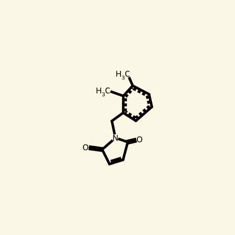 Cc1cccc(CN2C(=O)C=CC2=O)c1C